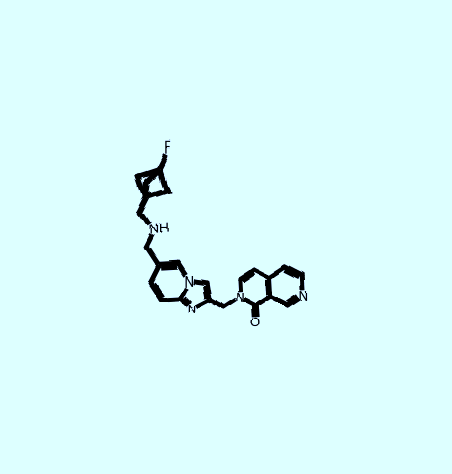 O=c1c2cnccc2ccn1Cc1cn2cc(CNCC34CC(F)(C3)C4)ccc2n1